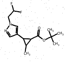 CC1C(C(=O)OC(C)(C)C)C1c1cnn(CC(F)F)c1